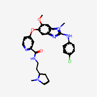 COc1cc2c(cc1Oc1ccnc(C(=O)NCCC3CCCN3C)c1)nc(Nc1ccc(Cl)cc1)n2C